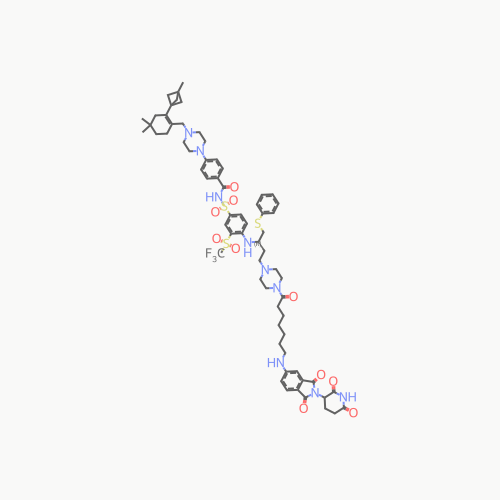 CC1(C)CCC(CN2CCN(c3ccc(C(=O)NS(=O)(=O)c4ccc(N[C@H](CCN5CCN(C(=O)CCCCCCNc6ccc7c(c6)C(=O)N(C6CCC(=O)NC6=O)C7=O)CC5)CSc5ccccc5)c(S(=O)(=O)C(F)(F)F)c4)cc3)CC2)=C(C23CC(C)(C2)C3)C1